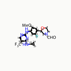 COc1cc(C2CN(C=O)CCO2)c(F)cc1Nc1ncc(C(F)(F)F)c(NC2CC2)n1